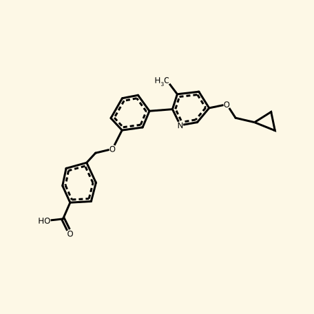 Cc1cc(OCC2CC2)cnc1-c1cccc(OCc2ccc(C(=O)O)cc2)c1